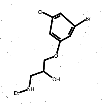 CCNCC(O)COc1cc(Cl)cc(Br)c1